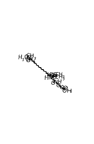 CC(C)(C)OC(=O)CCCCCCCCCCCCCCCCC(=O)N[C@@H](CCC(=O)NCCOCCOCC(=O)O)C(=O)OC(C)(C)C